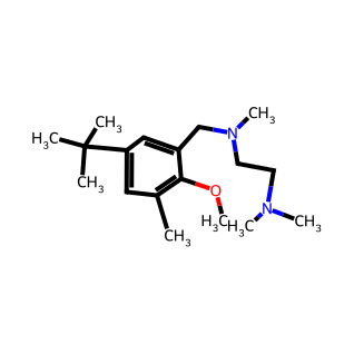 COc1c(C)cc(C(C)(C)C)cc1CN(C)CCN(C)C